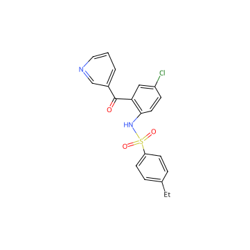 CCc1ccc(S(=O)(=O)Nc2ccc(Cl)cc2C(=O)c2cccnc2)cc1